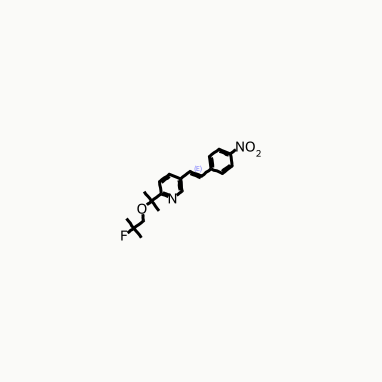 CC(C)(F)COC(C)(C)c1ccc(/C=C/c2ccc([N+](=O)[O-])cc2)cn1